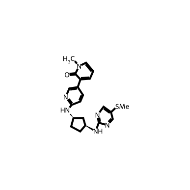 CSc1cnc(N[C@H]2CC[C@H](Nc3ccc(-c4cccn(C)c4=O)cn3)C2)nc1